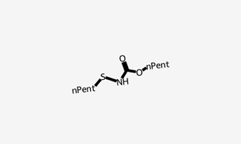 CCCCCOC(=O)NSCCCCC